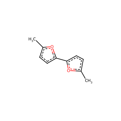 Cc1ccc(-c2ccc(C)o2)o1